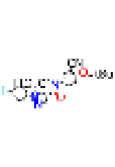 CC(C)(C)COc1ccc(N(CC(=O)O)C(=O)c2cnn(-c3ccc(F)cc3)c2)cc1C#N